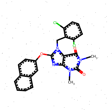 Cn1c(=O)c2c(nc(Oc3ccc4ccccc4c3)n2Cc2c(Cl)cccc2Cl)n(C)c1=O